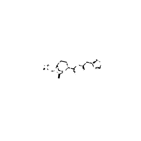 N=C(NC(=O)Cc1cscn1)C1CCC2CN1C(=O)N2OS(=O)(=O)O